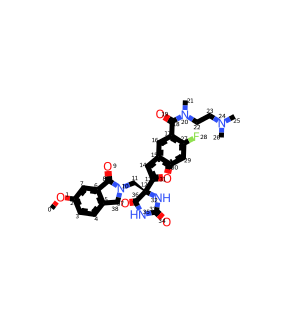 COc1ccc2c(c1)C(=O)N(C[C@@]1(c3cc4cc(C(=O)N(C)CCN(C)C)c(F)cc4o3)NC(=O)NC1=O)C2